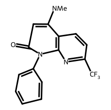 CNc1cc(=O)n(-c2ccccc2)c2nc(C(F)(F)F)ccc12